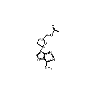 CC(=O)OC[C@@H]1CC[C@H](n2cnc3c(N)ncnc32)O1